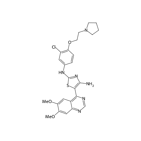 COc1cc2ncnc(-c3sc(Nc4ccc(OCCN5CCCC5)c(Cl)c4)nc3N)c2cc1OC